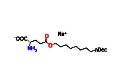 CCCCCCCCCCCCCCCCCCOC(=O)CC[C@H](N)C(=O)[O-].[Na+]